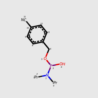 CC(C)N(C(C)C)P(O)OCc1ccc(C#N)cc1